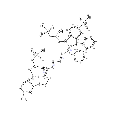 Cc1ccc2c(c1)C1CC\C(=C/C=C/C=C/C=C3\N(CC(O)CS(=O)(=O)O)c4ccc(S(=O)(=O)O)cc4C3(c3ccccc3)c3ccccc3)C1=[N+]2CC(O)CS(=O)(=O)O